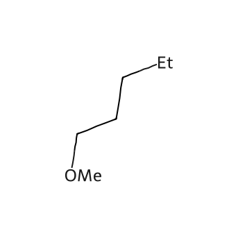 [CH]OCCCCC